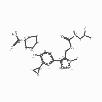 CC(F)CN(C)C(=O)OCc1c(-c2ccc(O[C@H]3CCC[C@H](C(=O)O)C3)c(C3CC3)n2)nnn1C